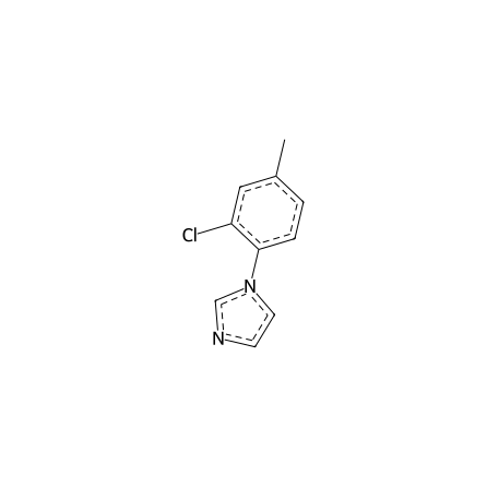 Cc1ccc(-n2ccnc2)c(Cl)c1